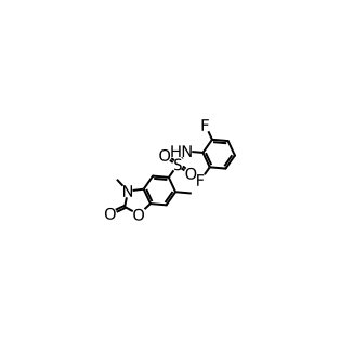 Cc1cc2oc(=O)n(C)c2cc1S(=O)(=O)Nc1c(F)cccc1F